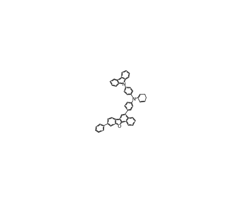 C1=CC(N(c2ccc(-c3cc4c5ccc(-c6ccccc6)cc5oc4c4ccccc34)cc2)c2ccc(-n3c4ccccc4c4ccccc43)cc2)=CCC1